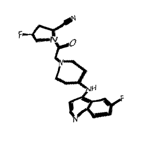 N#CC1C[C@H](F)CN1C(=O)CN1CCC(Nc2ccnc3ccc(F)cc23)CC1